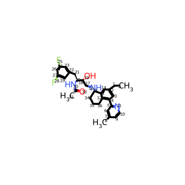 CCc1cc(-c2cc(C)ccn2)c2c(c1)[C@H](NC[C@H](O)[C@H](Cc1cc(F)cc(F)c1)NC(C)=O)CCC2